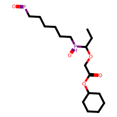 CCC(OCC(=O)OC1CCCCC1)[PH](=O)CCCCCCP=O